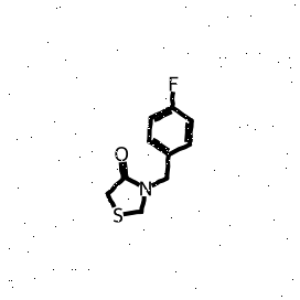 O=C1CSCN1Cc1ccc(F)cc1